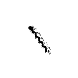 CC(C)=CCCC(C)=CCCC(C)=CCCC(C)=CCCC(C)=CCCC(C)=CCCC(C)=CCCC(C)=CCCC(C)=CCC1=C(C)C(=O)c2ccccc2C1=O